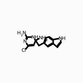 NC1=NC(Cl)=CC(N)(Cc2ccc3[nH]ccc3c2)N1